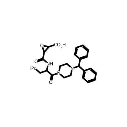 CC(C)CC(NC(=O)C1OC1C(=O)O)C(=O)N1CCN(C(c2ccccc2)c2ccccc2)CC1